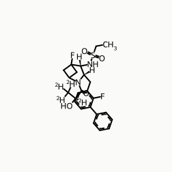 [2H]C([2H])([2H])[C@@]([2H])(O)C(=O)N1C2CC(F)(C2)[C@H](NS(=O)(=O)CC)[C@@H]1Cc1cccc(-c2ccccc2)c1F